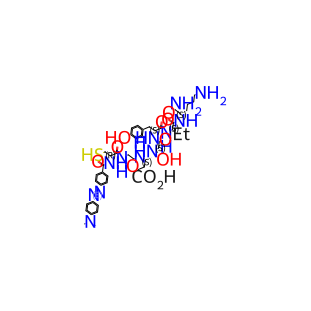 CC[C@H](NC(=O)[C@H](Cc1ccc(O)cc1)NC(=O)[C@H](CO)NC[C@H](CCC(=O)O)NC(=O)CNC(=O)[C@H](CS)NC(=O)c1ccc(/N=N/c2ccc(N(C)C)cc2)cc1)C(=O)N[C@@H](CCCCN)C(N)=O